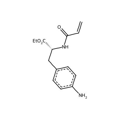 C=CC(=O)N[C@H](Cc1ccc(N)cc1)C(=O)OCC